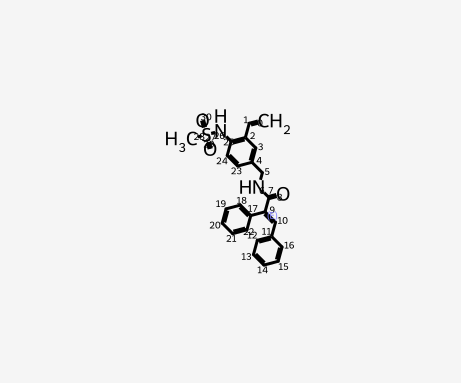 C=Cc1cc(CNC(=O)/C(=C/c2ccccc2)c2ccccc2)ccc1NS(C)(=O)=O